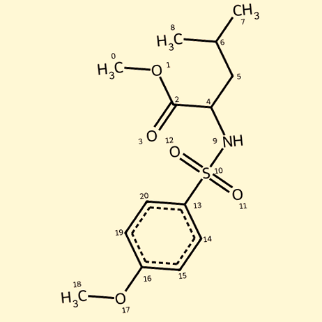 COC(=O)C(CC(C)C)NS(=O)(=O)c1ccc(OC)cc1